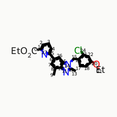 CCOC(=O)c1cccc(-c2cc(C)c3nc(C)n(Cc4ccc(OCC)cc4Cl)c3c2)n1